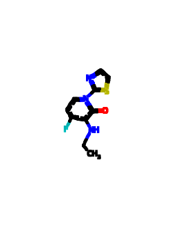 CCNc1c(F)ccn(-c2nccs2)c1=O